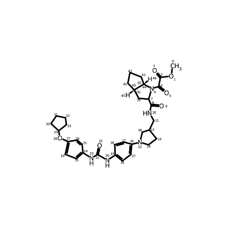 COC(=O)C(=O)N1C(C(=O)NCC2CCN(c3ccc(NC(=O)Nc4ccc(OC5CCCC5)cc4)cc3)C2)C[C@@H]2CCC[C@@H]21